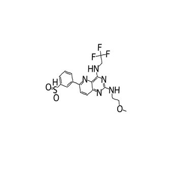 COCCNc1nc(NCC(F)(F)F)c2nc(-c3cccc([SH](=O)=O)c3)ccc2n1